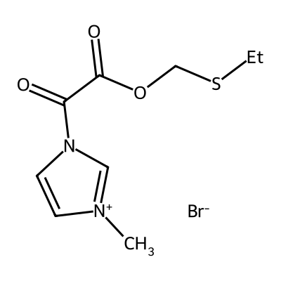 CCSCOC(=O)C(=O)n1cc[n+](C)c1.[Br-]